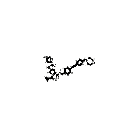 O=C(N[C@@H]1C[C@H](C(=O)NCc2ccc(C#Cc3ccc(CN4CCOCC4)cc3)cc2)N(C(=O)C2CC2)C1)[C@@H]1C[C@H](F)CN1